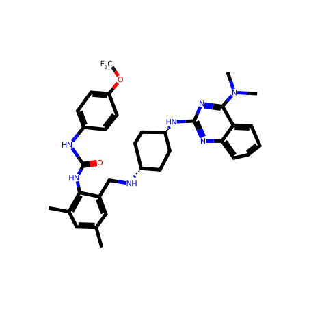 Cc1cc(C)c(NC(=O)Nc2ccc(OC(F)(F)F)cc2)c(CN[C@H]2CC[C@@H](Nc3nc(N(C)C)c4ccccc4n3)CC2)c1